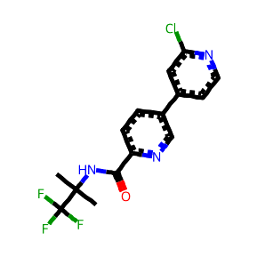 CC(C)(NC(=O)c1ccc(-c2ccnc(Cl)c2)cn1)C(F)(F)F